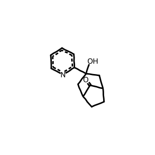 O=C1C2CCC1CC(O)(c1ccccn1)C2